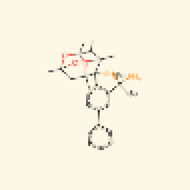 CC1C2(C)OC3(C)CC(C)(O2)C(P)(c2ccc(-c4ccccc4)cc2C(P)(C(C)(C)C)C(C)(C)C)C1(C)O3